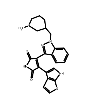 CN1CCCC(Cn2nc(C3=C(c4c[nH]c5sccc45)C(=O)NC3=O)c3ccccc32)C1